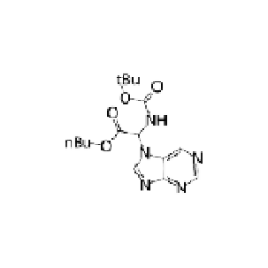 CCCCOC(=O)C(NC(=O)OC(C)(C)C)n1cnc2ncncc21